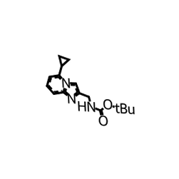 CC(C)(C)OC(=O)NCc1cn2c(C3CC3)cccc2n1